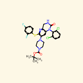 CC(C)(C)OC(=O)N1CCN(c2cc3c(nc2Sc2ccc(F)cc2F)CNC(=O)N3c2c(Cl)cccc2Cl)CC1